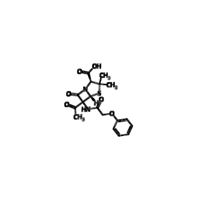 CC(=O)C1(NC(=O)COc2ccccc2)C(=O)N2[C@@H](C(=O)O)C(C)(C)S[C@@H]21